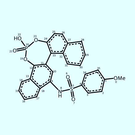 COc1ccc(S(=O)(=O)Nc2cc3c(c4ccccc24)OP(=O)(O)Oc2ccc4ccccc4c2-3)cc1